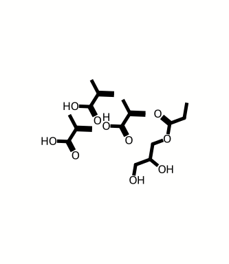 C=C(C)C(=O)O.C=C(C)C(=O)O.C=C(C)C(=O)O.CCC(=O)OCC(O)CO